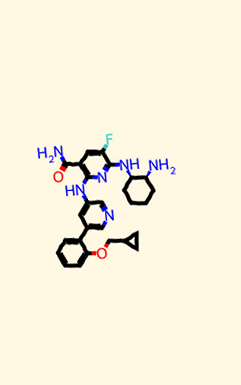 NC(=O)c1cc(F)c(N[C@@H]2CCCC[C@@H]2N)nc1Nc1cncc(-c2ccccc2OCC2CC2)c1